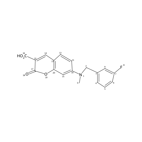 CN(Cc1cccc(F)c1)c1ccc2cc(C(=O)O)c(=O)oc2c1